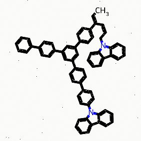 C/C=C(\C=C/Cn1c2ccccc2c2ccccc21)c1ccc(-c2cc(-c3ccc(-c4ccccc4)cc3)cc(-c3ccc(-c4ccc(-n5c6ccccc6c6ccccc65)cc4)cc3)c2)cc1